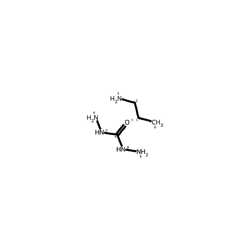 CCCN.NNC(=O)NN